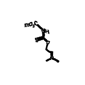 CCOC(=O)NC(=S)OCCN(C)C